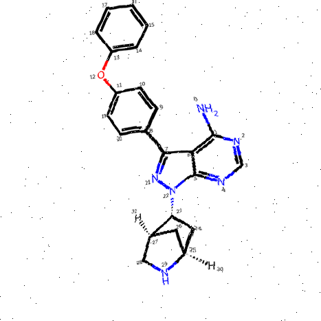 Nc1ncnc2c1c(-c1ccc(Oc3ccccc3)cc1)nn2[C@@H]1C[C@@H]2C[C@H]1CN2